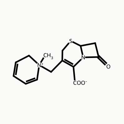 C[N+]1(CC2=C(C(=O)[O-])N3C(=O)CC3SC2)C=CC=CC1